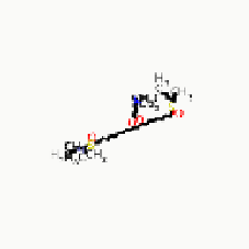 CCC(CCC(C)C)CSC(=O)CCCCCCCCCC(CCCCCCCCCC(=O)SC/C(=C/CC(C)C)C(C)C)OC(=O)CCCN(C)C